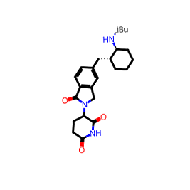 CC[C@@H](C)N[C@H]1CCCC[C@@H]1Cc1ccc2c(c1)CN(C1CCC(=O)NC1=O)C2=O